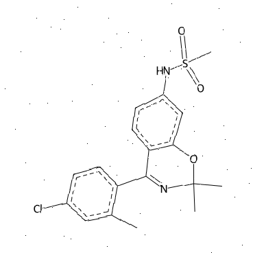 Cc1cc(Cl)ccc1C1=NC(C)(C)Oc2cc(NS(C)(=O)=O)ccc21